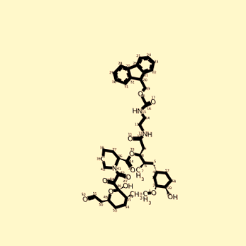 CO[C@@H]1C[C@H](C[C@@H](C)[C@H](CC(=O)NCCNC(=O)OCC2c3ccccc3-c3ccccc32)OC(=O)[C@@H]2CCCCN2C(=O)C(=O)[C@]2(O)O[C@H](CC=O)CC[C@H]2C)CC[C@H]1O